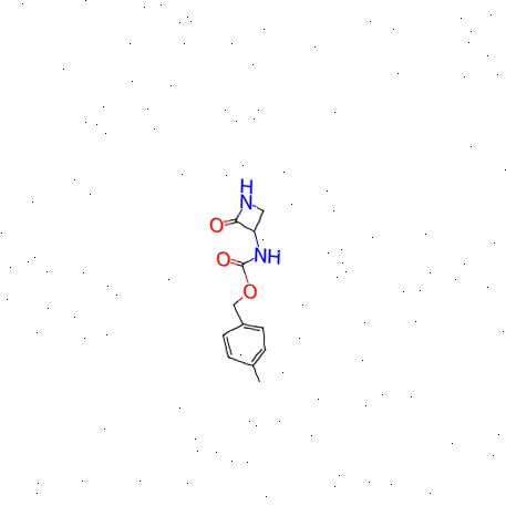 Cc1ccc(COC(=O)NC2CNC2=O)cc1